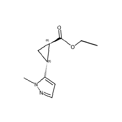 CCOC(=O)[C@@H]1C[C@H]1c1ccnn1C